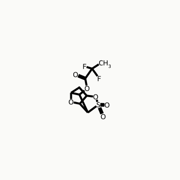 CC(F)(F)C(=O)OC1C2CC3OS(=O)(=O)C1C3O2